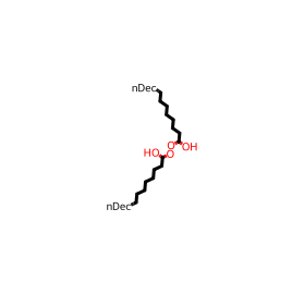 CCCCCCCCCCCCCCCCCC(O)OOC(O)CCCCCCCCCCCCCCCCC